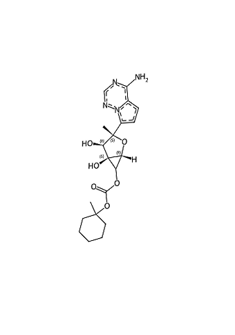 CC1(OC(=O)OC2[C@H]3O[C@@](C)(c4ccc5c(N)ncnn45)[C@H](O)[C@@]23O)CCCCC1